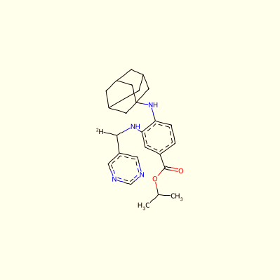 [2H]C(Nc1cc(C(=O)OC(C)C)ccc1NC12CC3CC(CC(C3)C1)C2)c1cncnc1